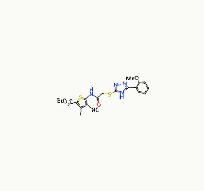 [C-]#[N+]c1c(NC(=O)CSc2nnc(-c3ccccc3OC)[nH]2)sc(C(=O)OCC)c1C